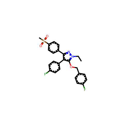 CCn1nc(-c2ccc(S(C)(=O)=O)cc2)c(-c2ccc(F)cc2)c1OCc1ccc(F)cc1